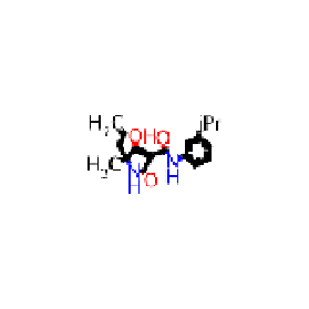 C=CCC1(C)NC(=O)C(C(=O)Nc2cccc(C(C)C)c2)=C1O